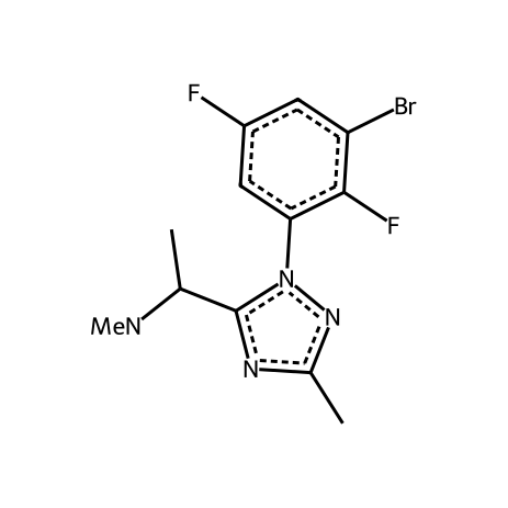 CNC(C)c1nc(C)nn1-c1cc(F)cc(Br)c1F